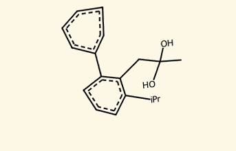 CC(C)c1cccc(-c2ccccc2)c1CC(C)(O)O